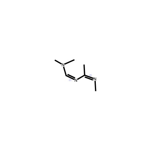 C/N=C(C)\N=C/N(C)C